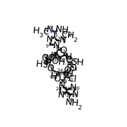 C=Nc1c(/C(N)=N\C)ncn1[C@@H]1O[C@@H]2OP(=O)(S)O[C@H]3[C@@H](Cl)[C@H](n4cnc5c(N)ncnc54)O[C@@H]3COP(=O)(S)O[C@@H]1[C@@H]2O